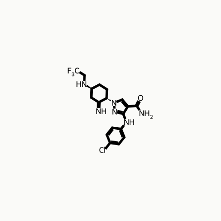 N=C1C[C@@H](NCC(F)(F)F)CC[C@@H]1n1cc(C(N)=O)c(Nc2ccc(Cl)cc2)n1